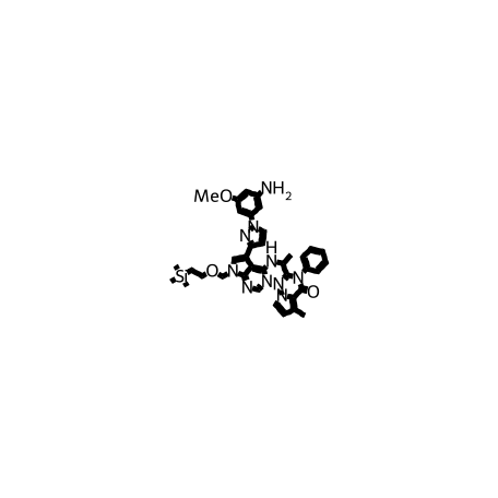 COc1cc(N)cc(-n2ccc(-c3cn(COCC[Si](C)(C)C)c4ncnc(NC(C)c5nn6ccc(C)c6c(=O)n5-c5ccccc5)c34)n2)c1